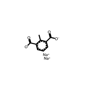 Cc1c(C(=O)[O-])cccc1C(=O)[O-].[Na+].[Na+]